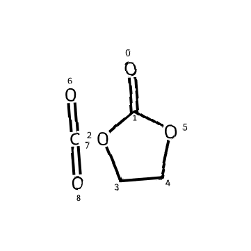 O=C1OCCO1.O=C=O